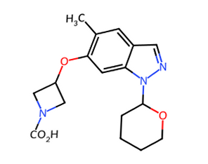 Cc1cc2cnn(C3CCCCO3)c2cc1OC1CN(C(=O)O)C1